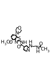 COc1ccc(N2CCOCC2)c2sc(NC(=O)c3ccnc(NCCNC(C)=O)c3)nc12